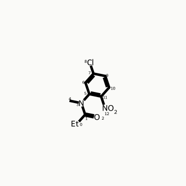 CCC(=O)N(C)c1cc(Cl)ccc1[N+](=O)[O-]